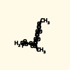 C=C(F)C(=O)OCCOC(=O)c1cc(OC(=O)c2ccc(OC(=O)c3ccc(OCCC)cc3)cc2)ccc1OCCC